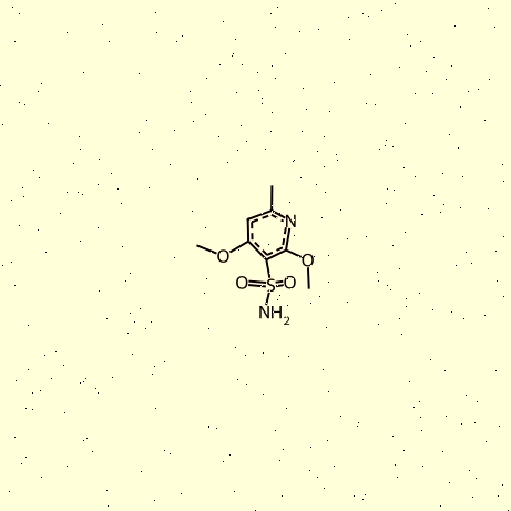 COc1cc(C)nc(OC)c1S(N)(=O)=O